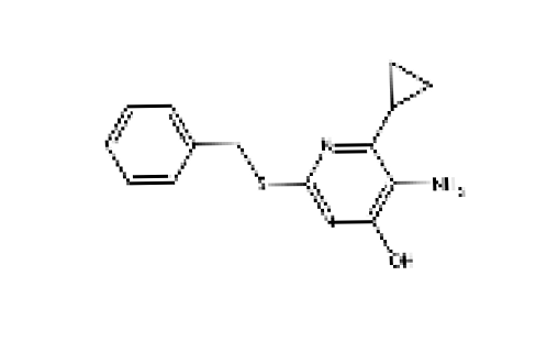 Nc1c(O)nc(SCc2ccccc2)nc1C1CC1